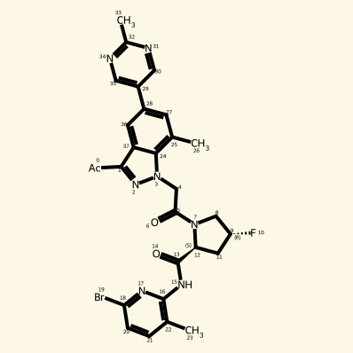 CC(=O)c1nn(CC(=O)N2C[C@H](F)C[C@H]2C(=O)Nc2nc(Br)ccc2C)c2c(C)cc(-c3cnc(C)nc3)cc12